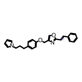 C(=C\c1nc(COc2ccc(CCCn3cccc3)cc2)co1)/c1ccccc1